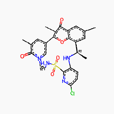 Cc1cc([C@@H](C)Nc2ccc(Cl)nc2S(N)(=O)=O)c2oc(-c3cc(C)c(=O)n(C(C)C)c3)c(C)c(=O)c2c1